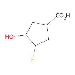 O=C(O)C1CC(O)C(F)C1